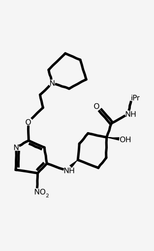 CC(C)NC(=O)[C@]1(O)CC[C@@H](Nc2cc(OCCN3CCCCC3)ncc2[N+](=O)[O-])CC1